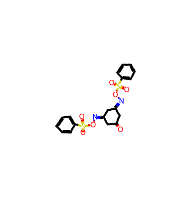 O=C1C/C(=N\OS(=O)(=O)c2ccccc2)C/C(=N\OS(=O)(=O)c2ccccc2)C1